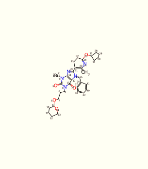 CCC(C)n1c(=O)n(CCCOC2CCCCO2)c(=O)c2c1nc(C1=C(C)N=C(OC3CCCC3)CC1)n2CC1=C=C=CC=C1